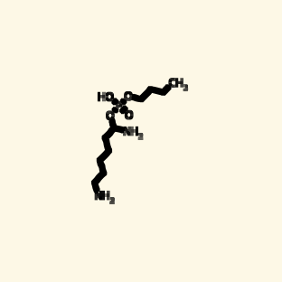 CCCCOP(=O)(O)OC(N)CCCCCN